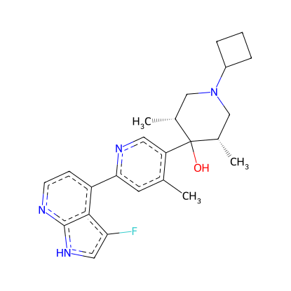 Cc1cc(-c2ccnc3[nH]cc(F)c23)ncc1C1(O)[C@H](C)CN(C2CCC2)C[C@@H]1C